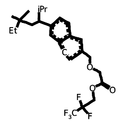 CCC(C)(C)CC(c1ccc2cc(COCC(=O)OCC(F)(F)C(F)(F)F)ccc2c1)C(C)C